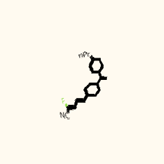 C=C(C1CCC(C=CC=C(F)C#N)CC1)C1CCC(CCC)CC1